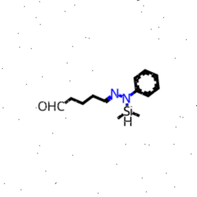 C[SiH](C)N(N=CCCCC=O)c1ccccc1